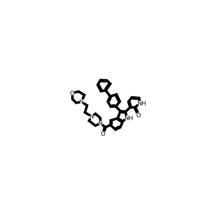 O=C(c1ccc2[nH]c(-c3ccc[nH]c3=O)c(-c3ccc(-c4ccccc4)cc3)c2c1)N1CCN(CCN2CCOCC2)CC1